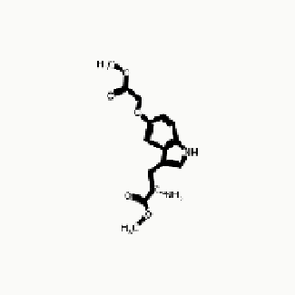 COC(=O)COc1ccc2[nH]cc(C[C@H](N)C(=O)OC)c2c1